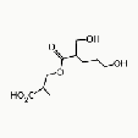 CC(COC(=O)C(CO)CCCO)C(=O)O